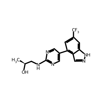 C[C@H](O)CNc1ncc(-c2cc(C(F)(F)F)cc3[nH]ncc23)cn1